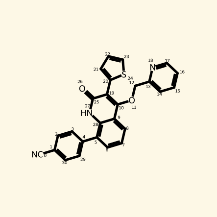 N#Cc1ccc(-c2cccc3c(OCc4ccccn4)c(-c4cccs4)c(=O)[nH]c23)cc1